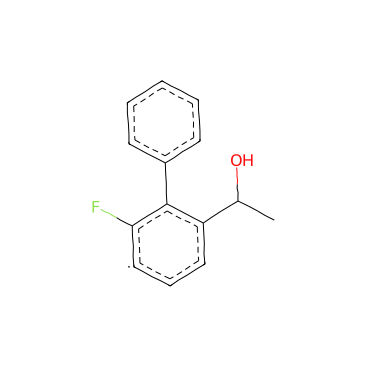 CC(O)c1cc[c]c(F)c1-c1ccccc1